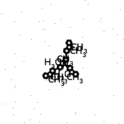 CC1(C)c2ccccc2-c2ccc(-c3ccc4c(c3)C(C)(C)c3cc(-c5ccc6c(c5)C(C)(C)c5ccccc5-6)ccc3N4c3ccc4c(c3)C(C)(C)c3ccccc3-4)cc21